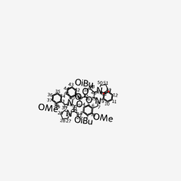 COc1ccccc1CN(c1ccccc1)C(OC(=O)C(=O)OC(C(COCC(C)C)N1CCCC1)N(Cc1ccccc1OC)c1ccccc1)C(COCC(C)C)N1CCCC1